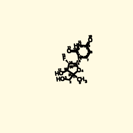 C[C@]1(CO)O[C@@H](n2ccc(=O)[nH]c2=O)[C@@H](F)[C@@H]1O